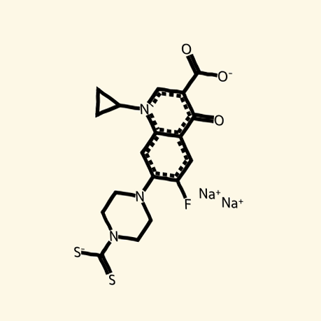 O=C([O-])c1cn(C2CC2)c2cc(N3CCN(C(=S)[S-])CC3)c(F)cc2c1=O.[Na+].[Na+]